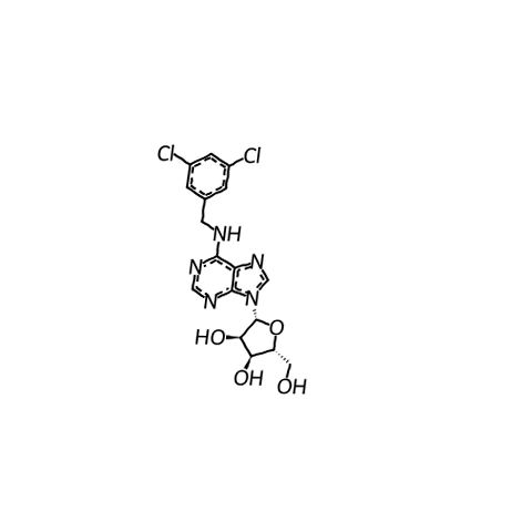 OC[C@H]1O[C@@H](n2cnc3c(NCc4cc(Cl)cc(Cl)c4)ncnc32)[C@H](O)[C@@H]1O